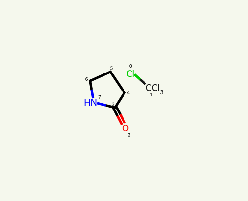 ClC(Cl)(Cl)Cl.O=C1CCCN1